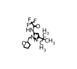 CC(C)(C)c1cc(NC(=O)C(F)(F)F)n(C[C@H]2CCCO2)n1